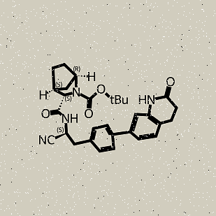 CC(C)(C)OC(=O)N1[C@@H]2CC[C@@H](C2)[C@H]1C(=O)N[C@H](C#N)Cc1ccc(-c2ccc3c(c2)NC(=O)CC3)cc1